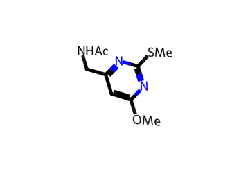 COc1cc(CNC(C)=O)nc(SC)n1